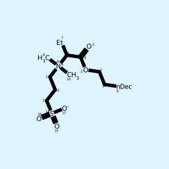 CCCCCCCCCCCCOC(=O)C(CC)[N+](C)(C)CCCS(=O)(=O)[O-]